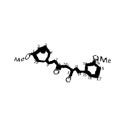 COc1cccc(/C=C/C(=O)CC(=O)/C=C/c2cccc(OC)c2)c1